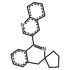 c1ccc2c(c1)CC1(CCCC1)N=C2c1cnc2ccccc2c1